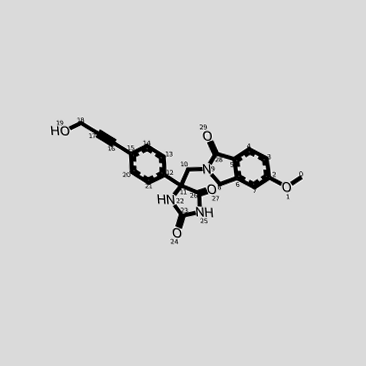 COc1ccc2c(c1)CN(CC1(c3ccc(C#CCO)cc3)NC(=O)NC1=O)C2=O